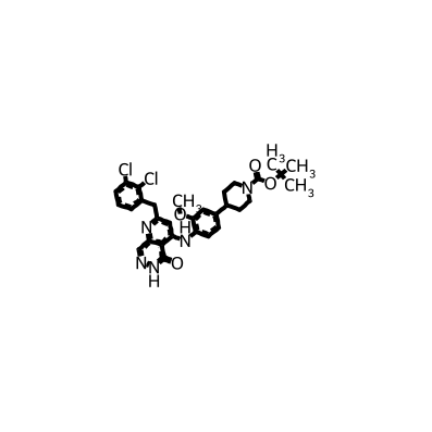 COc1cc(C2CCN(C(=O)OC(C)(C)C)CC2)ccc1Nc1cc(Cc2cccc(Cl)c2Cl)nc2cn[nH]c(=O)c12